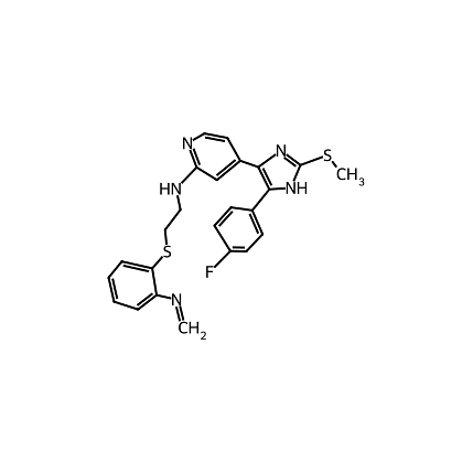 C=Nc1ccccc1SCCNc1cc(-c2nc(SC)[nH]c2-c2ccc(F)cc2)ccn1